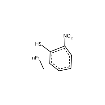 CCCC.O=[N+]([O-])c1ccccc1S